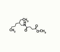 CCCCC(CC)CNC(=O)CCC(=O)OC